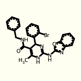 CC1=C(C(=O)NCc2ccccc2)C(c2ccccc2Br)N=C(Nc2nc3ccccc3o2)N1